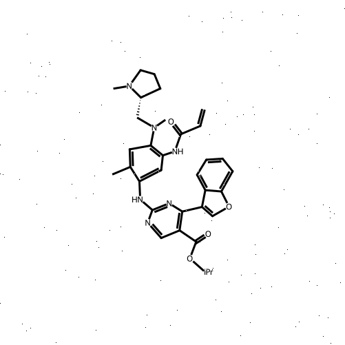 C=CC(=O)Nc1cc(Nc2ncc(C(=O)OC(C)C)c(-c3coc4ccccc34)n2)c(C)cc1N(C)C[C@H]1CCCN1C